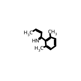 C/C=C\C(=N)c1c(C)cccc1C